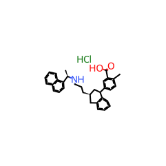 Cc1ccc(C2C[C@H](CCCN[C@H](C)c3cccc4ccccc34)Cc3ccccc32)cc1C(=O)O.Cl